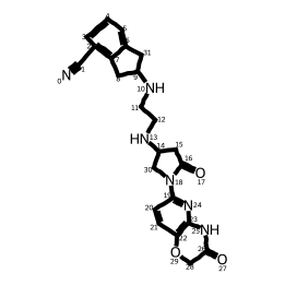 N#Cc1cccc2c1CC(NCCNC1CC(=O)N(c3ccc4c(n3)NC(=O)CO4)C1)C2